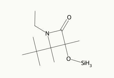 CCN1C(=O)C(C)(O[SiH3])C1(C)C(C)(C)C